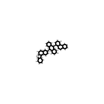 c1ccc2c(c1)ccc1c(-c3c4ccccc4c(-c4ccc5c(ccc6oc7ccccc7c65)c4)c4ccccc34)cccc12